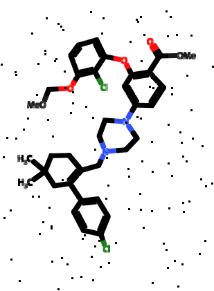 COCOc1cccc(Oc2cc(N3CCN(CC4=C(c5ccc(Cl)cc5)CC(C)(C)CC4)CC3)ccc2C(=O)OC)c1Cl